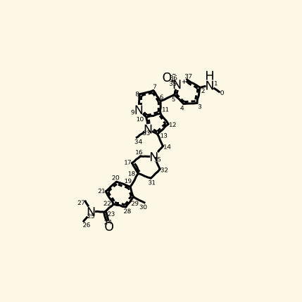 CNc1ccc(-c2ccnc3c2cc(CN2CC=C(c4ccc(C(=O)N(C)C)cc4C)CC2)n3C)[n+]([O-])c1